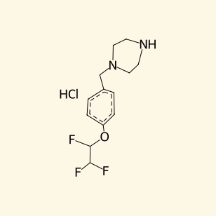 Cl.FC(F)C(F)Oc1ccc(CN2CCNCC2)cc1